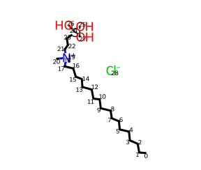 CCCCCCCCCCCCCCCCCC[N+](C)(C)CCC[Si](O)(O)O.[Cl-]